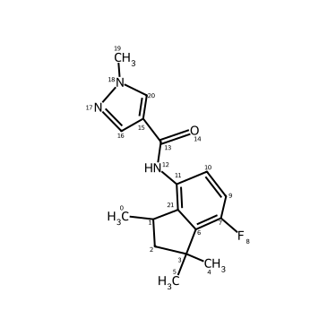 CC1CC(C)(C)c2c(F)ccc(NC(=O)c3cnn(C)c3)c21